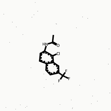 CC(=O)Nc1ccc2ccc(C(F)(F)F)cc2c1Cl